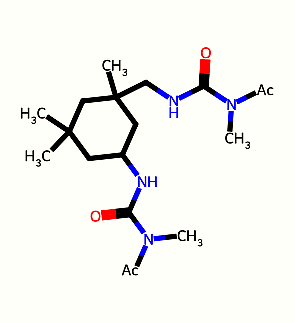 CC(=O)N(C)C(=O)NCC1(C)CC(NC(=O)N(C)C(C)=O)CC(C)(C)C1